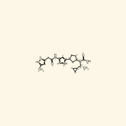 Cc1cc(CC(=O)Nc2cc(C3CCC(N(C(=O)O)[C@H](C)C4CC4)C3)[nH]n2)on1